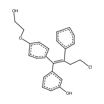 OCCOc1ccc(/C(=C(/CCCl)c2ccccc2)c2cccc(O)c2)cc1